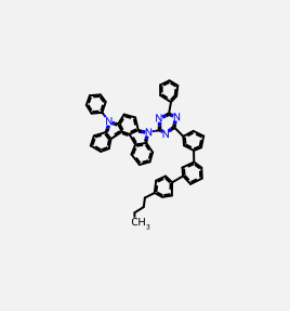 CCCCc1ccc(-c2cccc(-c3cccc(-c4nc(-c5ccccc5)nc(-n5c6ccccc6c6c7c8ccccc8n(-c8ccccc8)c7ccc65)n4)c3)c2)cc1